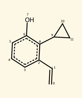 C=[C]c1cccc(O)c1C1CC1